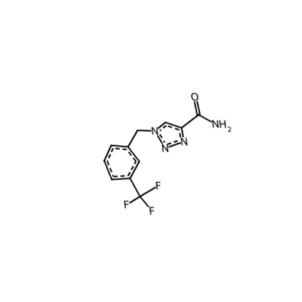 NC(=O)c1cn(Cc2cccc(C(F)(F)F)c2)nn1